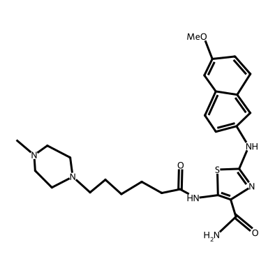 COc1ccc2cc(Nc3nc(C(N)=O)c(NC(=O)CCCCCN4CCN(C)CC4)s3)ccc2c1